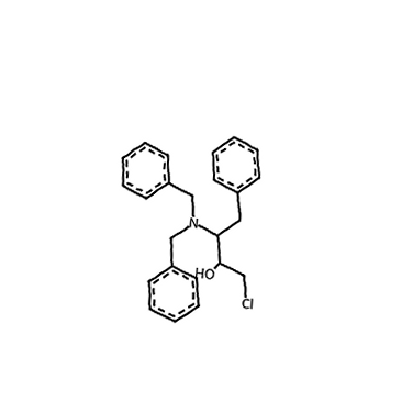 OC(CCl)C(Cc1ccccc1)N(Cc1ccccc1)Cc1ccccc1